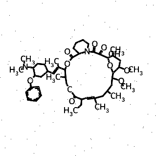 CCC1/C=C(\C)CC(C)CC(OC)C2OC(O)(C(=O)C(=O)N3CCCCC3C(=O)OC(C(C)=CC3CCC(N(C)C)C(Oc4ccccc4)C3)C(C)CCC1=O)C(C)CC2OC